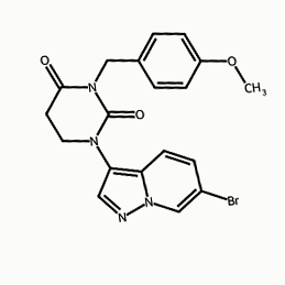 COc1ccc(CN2C(=O)CCN(c3cnn4cc(Br)ccc34)C2=O)cc1